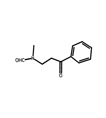 CN(C=O)CCC(=O)c1ccccc1